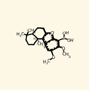 COc1cc2c3c(oc2c(B(O)O)c1OC)CCC1C(C)(C)CCC[C@]31C